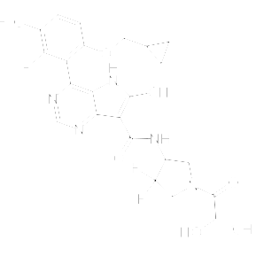 Cc1ccc(OCC2CC2)c(-c2ncnc3c(C(=O)NC4CN(C(=O)[C@H](C)O)CC4(F)F)c(C)[nH]c23)c1F